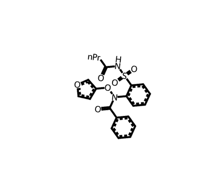 CCCC(=O)NS(=O)(=O)c1ccccc1N(Oc1ccoc1)C(=O)c1ccccc1